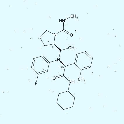 CNC(=O)N1CCC[C@@H]1C(O)N(c1cccc(F)c1)[C@H](C(=O)NC1CCCCC1)c1ccccc1C